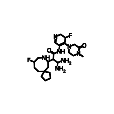 CN1CCN(C2=C(NC(=O)C(C(N)N)C3CC4(CCCC4)CCC(F)CN3)C=NCC2F)CC1=O